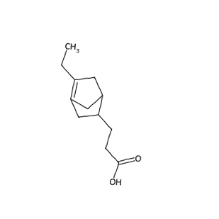 CCC1=C2CC(CCC(=O)O)C(C1)C2